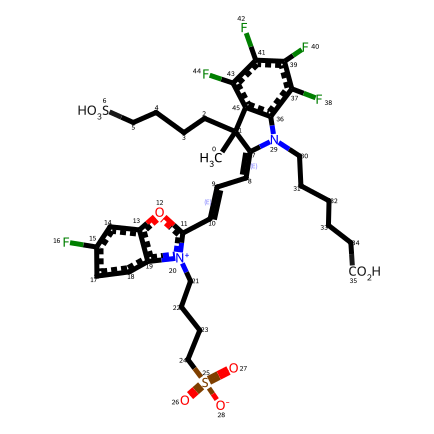 CC1(CCCCS(=O)(=O)O)/C(=C\C=C\c2oc3cc(F)ccc3[n+]2CCCCS(=O)(=O)[O-])N(CCCCCC(=O)O)c2c(F)c(F)c(F)c(F)c21